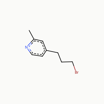 Cc1cc(CCCBr)ccn1